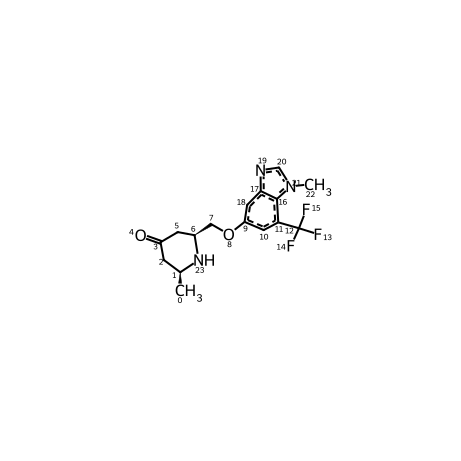 C[C@H]1CC(=O)C[C@@H](COc2cc(C(F)(F)F)c3c(c2)ncn3C)N1